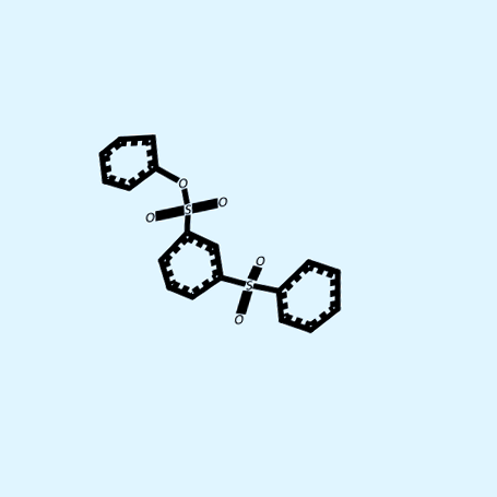 O=S(=O)(Oc1ccccc1)c1cccc(S(=O)(=O)c2ccccc2)c1